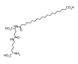 N[C@@H](CCCCNC(=O)CC[C@H](NC(=O)CCCCCCCCCCCCCCCCCCC(=O)O)C(=O)O)C(=O)O